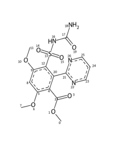 COC(=O)c1c(OC)cc(OC)c(S(=O)(=O)NC(N)=O)c1-c1ncccn1